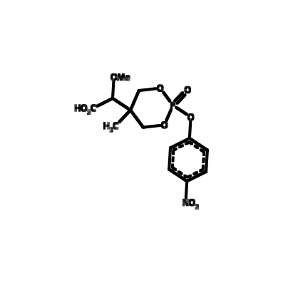 COC(C(=O)O)C1(C)COP(=O)(Oc2ccc([N+](=O)[O-])cc2)OC1